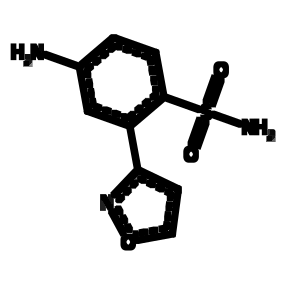 Nc1ccc(S(N)(=O)=O)c(-c2ccon2)c1